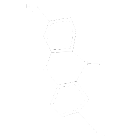 CN1c2ccc(N)cc2Oc2ccc(N)cc21